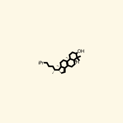 CC(C)CCC[C@@H](C)[C@H]1CC=C2C3=C(CC[C@@]21C)[C@@]1(C)CCC(O)C(C)(C)[C@@H]1CC3